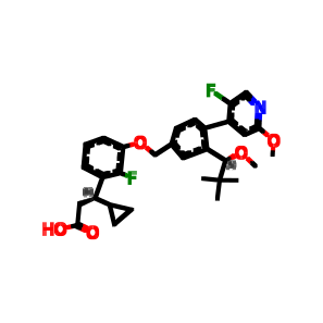 COc1cc(-c2ccc(COc3cccc([C@H](CC(=O)O)C4CC4)c3F)cc2[C@@H](OC)C(C)(C)C)c(F)cn1